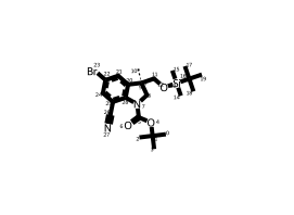 CC(C)(C)OC(=O)N1C[C@](C)(CO[Si](C)(C)C(C)(C)C)c2cc(Br)cc(C#N)c21